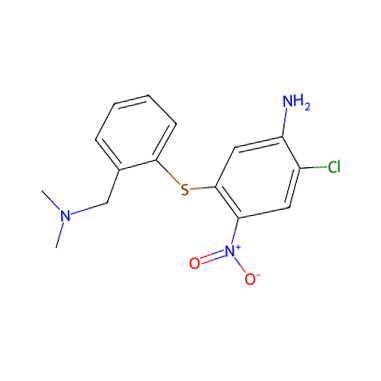 CN(C)Cc1ccccc1Sc1cc(N)c(Cl)cc1[N+](=O)[O-]